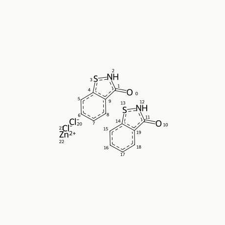 O=c1[nH]sc2ccccc12.O=c1[nH]sc2ccccc12.[Cl-].[Cl-].[Zn+2]